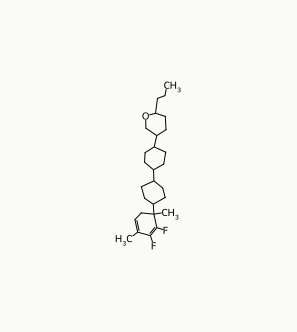 CCCC1CCC(C2CCC(C3CCC(C4(C)CC=C(C)C(F)=C4F)CC3)CC2)CO1